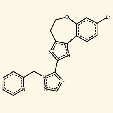 Brc1ccc2c(c1)OCCc1sc(-c3ncnn3Cc3ccccn3)nc1-2